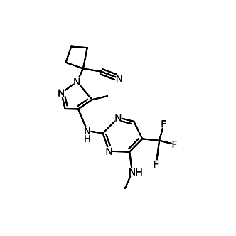 CNc1nc(Nc2cnn(C3(C#N)CCC3)c2C)ncc1C(F)(F)F